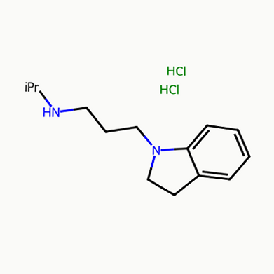 CC(C)NCCCN1CCc2ccccc21.Cl.Cl